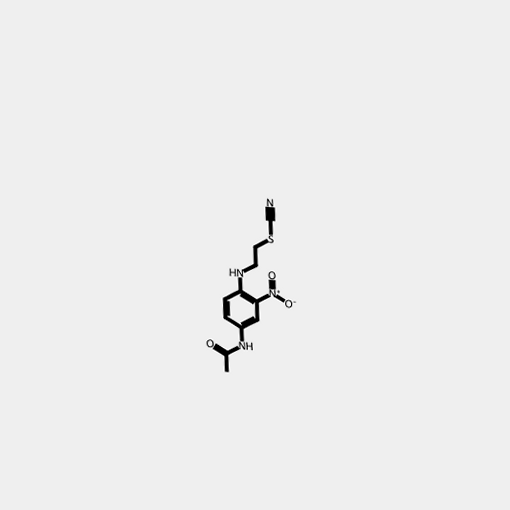 CC(=O)Nc1ccc(NCCSC#N)c([N+](=O)[O-])c1